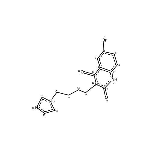 O=c1[nH]c2ccc(Br)cc2c(=O)n1CCCCn1ccnc1